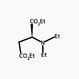 CCOC(=O)C[C@@H](C(=O)OCC)N(CC)CC